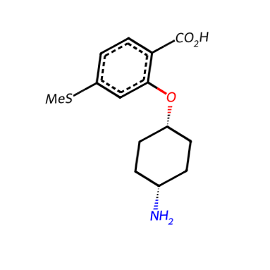 CSc1ccc(C(=O)O)c(O[C@H]2CC[C@@H](N)CC2)c1